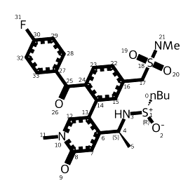 CCCC[S@+]([O-])N[C@@H](C)c1cc(=O)n(C)cc1-c1cc(CS(=O)(=O)NC)ccc1C(=O)c1ccc(F)cc1